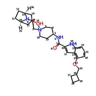 O=C(NC1CCN(CCN2[C@@H]3CC[C@H]2C[C@@H](O)C3)CC1)c1cc2c(OCC3CCC3)cccc2[nH]1